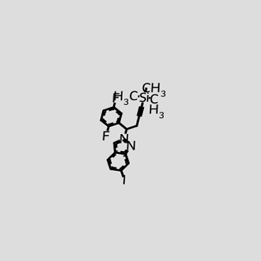 C[Si](C)(C)C#CCC(c1cc(F)ccc1F)n1cc2ccc(I)cc2n1